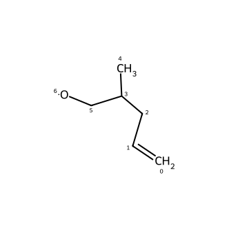 C=CCC(C)C[O]